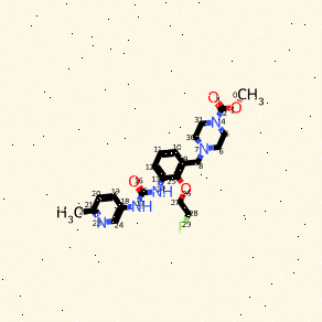 COC(=O)N1CCN(Cc2cccc(NC(=O)Nc3ccc(C)nc3)c2OCCF)CC1